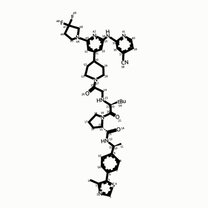 Cc1ncsc1-c1ccc([C@H](C)NC(=O)[C@@H]2CCCN2C(=O)[C@@H](NCC(=O)N2CCC(c3cc(Nc4cc(C#N)ccn4)nc(N4CCC(F)(F)C4)c3)CC2)C(C)(C)C)cc1